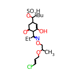 CCC(=NOCC(C)OCC=CCl)C1C(=O)CC(C(OS(=O)(=O)O)C(C)CC)C=C1O